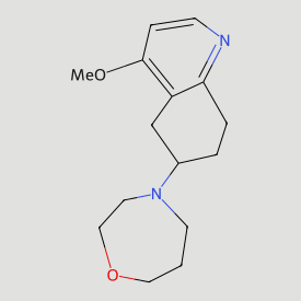 COc1ccnc2c1CC(N1CCCOCC1)CC2